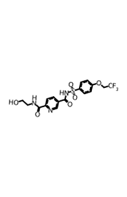 O=C(NS(=O)(=O)c1ccc(OCC(F)(F)F)cc1)c1ccc(C(=O)NCCO)nc1